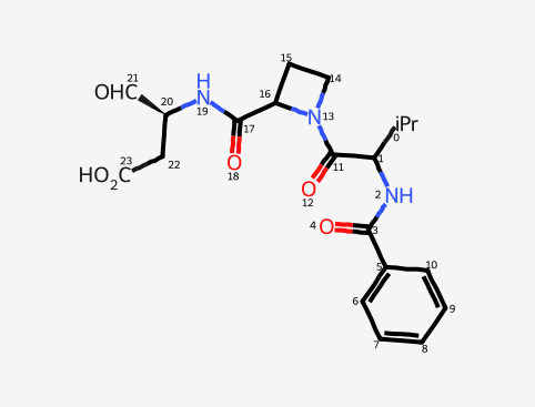 CC(C)C(NC(=O)c1ccccc1)C(=O)N1CCC1C(=O)N[C@H](C=O)CC(=O)O